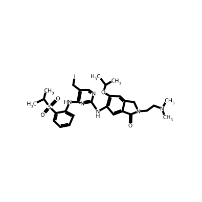 CC(C)Oc1cc2c(cc1Nc1ncc(CI)c(Nc3ccccc3S(=O)(=O)C(C)C)n1)C(=O)N(CCN(C)C)C2